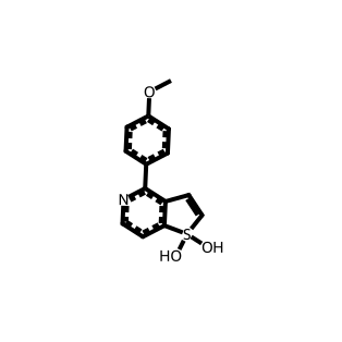 COc1ccc(-c2nccc3c2C=CS3(O)O)cc1